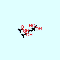 C=C(C)C(=O)O.C=C(C)C(=O)O.CCCC(C)(C)C(C)(O)O